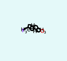 C[C@]12CCC(=O)C=C1CC[C@@H]1[C@H]2CC[C@]2(C)C(C#CI)CC[C@@H]12